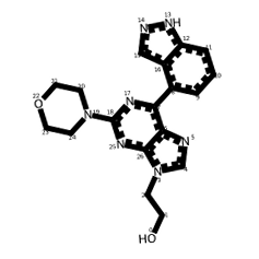 OCCn1cnc2c(-c3cccc4[nH]ncc34)nc(N3CCOCC3)nc21